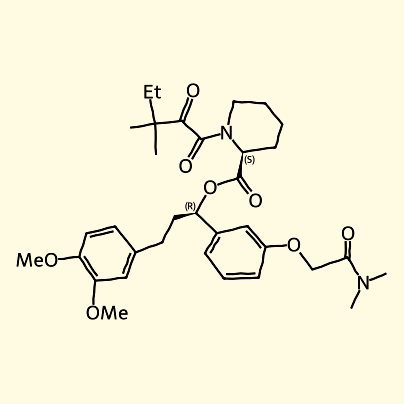 CCC(C)(C)C(=O)C(=O)N1CCCC[C@H]1C(=O)O[C@H](CCc1ccc(OC)c(OC)c1)c1cccc(OCC(=O)N(C)C)c1